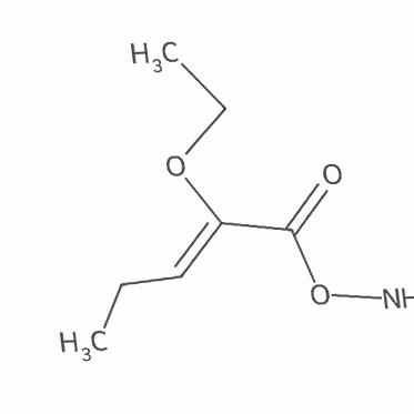 CCC=C(OCC)C(=O)ON